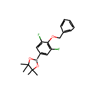 CC1(C)OB(c2cc(F)c(OCc3ccccc3)c(F)c2)OC1(C)C